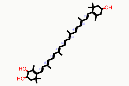 CC1=C(/C=C/C(C)=C/C=C/C(C)=C/C=C/C=C(C)/C=C/C=C(C)/C=C/C2=C(C)C(O)C(O)CC2(C)C)C(C)(C)CC(O)C1